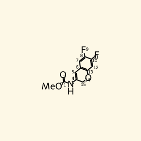 COC(=O)NC1=Cc2cc(F)c(F)cc2OC1